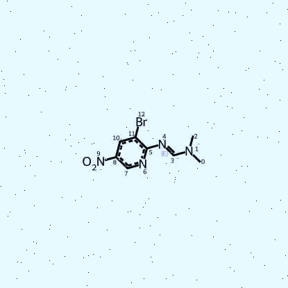 CN(C)/C=N/c1ncc([N+](=O)[O-])cc1Br